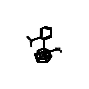 CN(C)c1ccccc1[C]12[CH]3[CH]4[CH]5[C]1(P)[Fe]45321678[CH]2[CH]1[CH]6[CH]7[CH]28